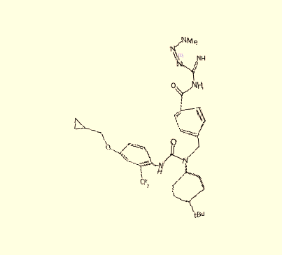 CN/N=N\C(=N)NC(=O)c1ccc(CN(C(=O)Nc2ccc(OCC3CC3)cc2C(F)(F)F)C2CCC(C(C)(C)C)CC2)cc1